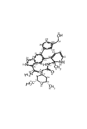 C[C@@H]1CN(CC(=O)NC2(C)NC=CC=C2c2cc3c(C(N)=O)nnn3cc2-c2csc(CO)c2)C[C@H](C)O1